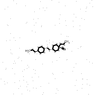 CCC[C@H]1CC[C@H](CC[C@H]2CC[C@@](C#N)(CCC)CC2)CC1